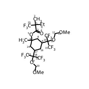 CCC(C)(C(=O)OC1(C)CC(C(OCOC)(C(F)(F)F)C(F)(F)F)CC(C(OCOC)(C(F)(F)F)C(F)(F)F)C1)C(F)(F)F